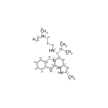 Cc1cc2cc([C@H](NCCCN(C)C)C(C)C)n(Cc3ccccc3)c(=O)n2n1